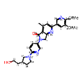 COc1cc(-c2cc(C)c3c(n2)CN(c2ccc(N4CCC(CCO)C4)nc2)C3=O)cnc1OC